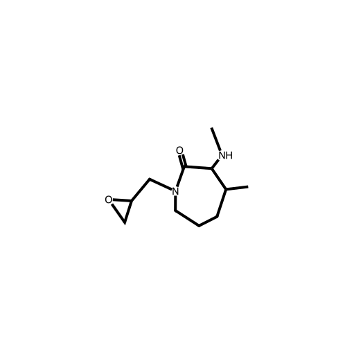 CNC1C(=O)N(CC2CO2)CCCC1C